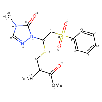 COC(=O)C(CSC(CS(=O)(=O)c1ccccc1)n1ncn(C)c1=O)NC(C)=O